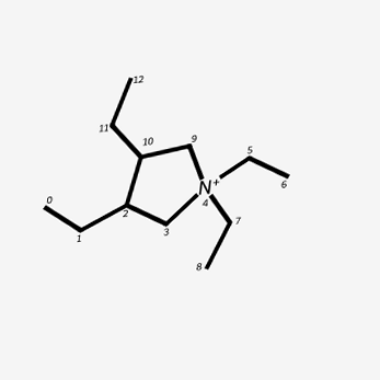 CCC1C[N+](CC)(CC)CC1CC